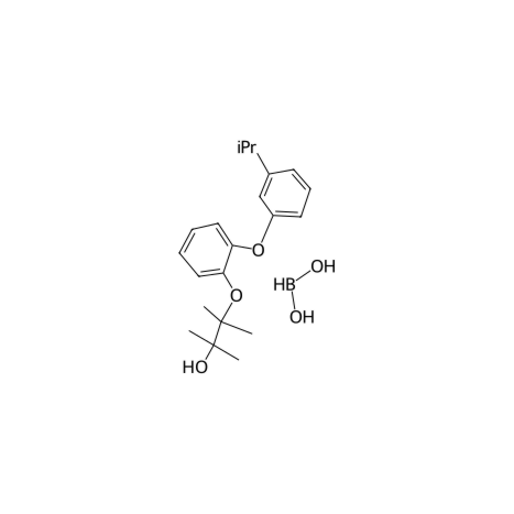 CC(C)c1cccc(Oc2ccccc2OC(C)(C)C(C)(C)O)c1.OBO